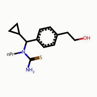 CCCN(C(N)=S)C(c1ccc(CCO)cc1)C1CC1